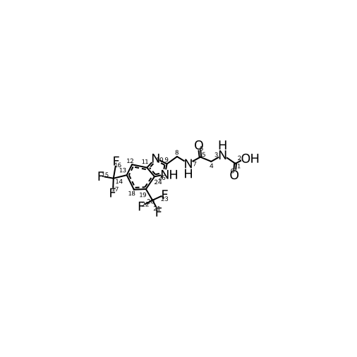 O=C(O)NCC(=O)NCc1nc2cc(C(F)(F)F)cc(C(F)(F)F)c2[nH]1